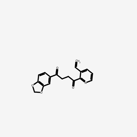 C=Cc1cccnc1C(=O)CCC(=O)c1ccc2c(c1)OCO2